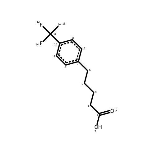 O=C(O)CCCCc1ccc(C(F)(F)F)cc1